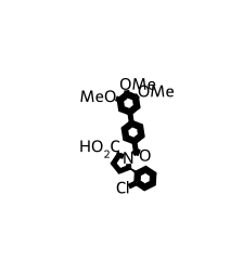 COc1cc(-c2ccc(C(=O)N3[C@@H](c4ccccc4Cl)CC[C@H]3C(=O)O)cc2)cc(OC)c1OC